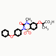 CC(Oc1ccc2c(c1)N(C)C(=O)N(c1ccc(Oc3ccccc3)cc1)S2(=O)=O)C(=O)O